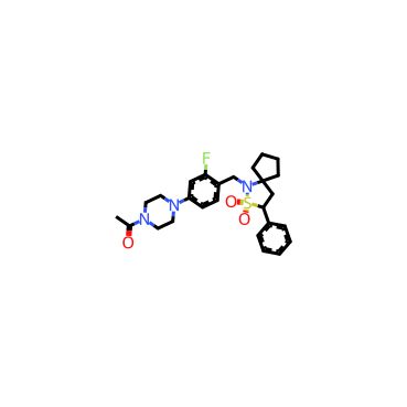 CC(=O)N1CCN(c2ccc(CN3C4(CCCC4)CC(c4ccccc4)S3(=O)=O)c(F)c2)CC1